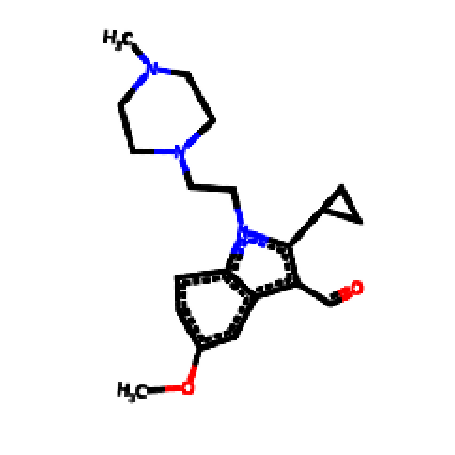 COc1ccc2c(c1)c(C=O)c(C1CC1)n2CCN1CCN(C)CC1